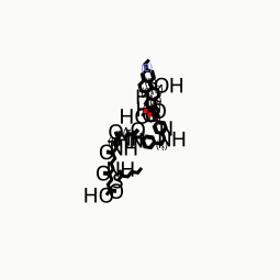 C/C=C1\C=C[C@@]2(C)C(=C1)CC[C@@H]1C2[C@@H](O)C[C@@]2(C)C1C[C@H]1O[C@@H](c3ccc(N[C@H](C)c4ccc(NC(=O)[C@H](C)NC(=O)[C@H](C)NC(=O)CCNC(=O)C(CC(=O)O)SC(C)CCCC)cc4)nc3)O[C@]12C(=O)CO